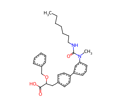 CCCCCCCNC(=O)N(C)c1cccc(-c2ccc(CC(OCc3ccccc3)C(=O)O)cc2)c1